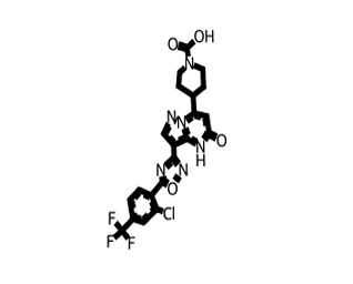 O=C(O)N1CCC(c2cc(=O)[nH]c3c(-c4noc(-c5ccc(C(F)(F)F)cc5Cl)n4)cnn23)CC1